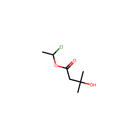 CC(Cl)OC(=O)CC(C)(C)O